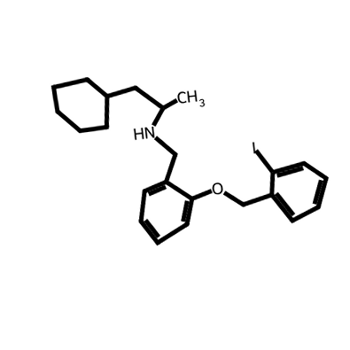 CC(CC1CCCCC1)NCc1ccccc1OCc1ccccc1I